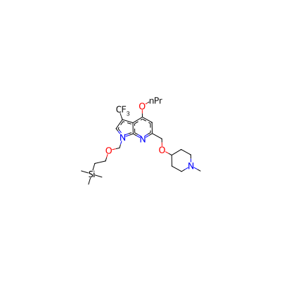 CCCOc1cc(COC2CCN(C)CC2)nc2c1c(C(F)(F)F)cn2COCC[Si](C)(C)C